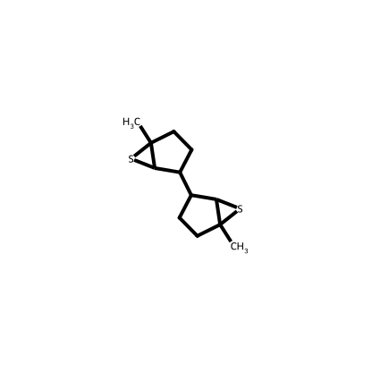 CC12CCC(C3CCC4(C)SC34)C1S2